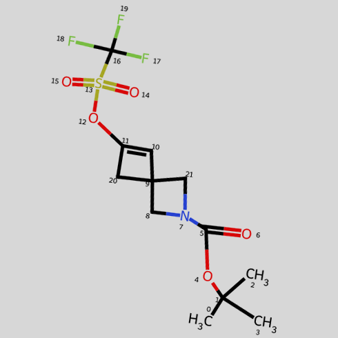 CC(C)(C)OC(=O)N1CC2(C=C(OS(=O)(=O)C(F)(F)F)C2)C1